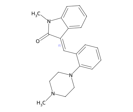 CN1CCN(c2ccccc2/C=C2/C(=O)N(C)c3ccccc32)CC1